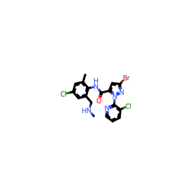 CNCc1cc(Cl)cc(C)c1NC(=O)c1cc(Br)nn1-c1ncccc1Cl